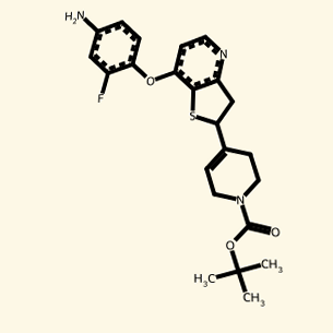 CC(C)(C)OC(=O)N1CC=C(C2Cc3nccc(Oc4ccc(N)cc4F)c3S2)CC1